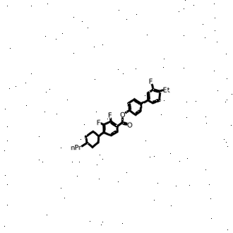 CCCC1CCC(c2ccc(C(=O)Oc3ccc(-c4ccc(CC)c(F)c4)cc3)c(F)c2F)CC1